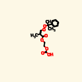 CC(=COOC(C)(C)c1ccccc1)C(=O)OCCOC(=O)O